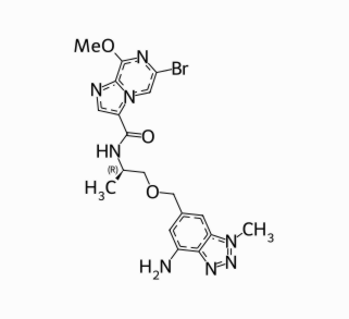 COc1nc(Br)cn2c(C(=O)N[C@H](C)COCc3cc(N)c4nnn(C)c4c3)cnc12